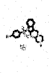 COc1c(CN2CCN(C)CC2)c2ccccc2n1S(=O)(=O)c1ccc(C(C)C)cc1.Cl.Cl